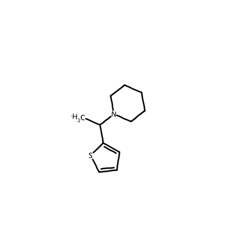 [CH2]C(c1cccs1)N1CCCCC1